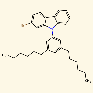 CCCCCCc1cc(CCCCCC)cc(-n2c3ccccc3c3ccc(Br)cc32)c1